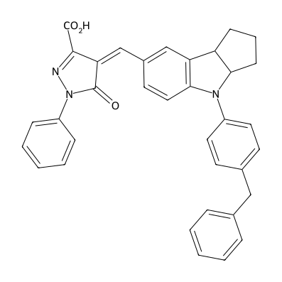 O=C(O)C1=NN(c2ccccc2)C(=O)/C1=C\c1ccc2c(c1)C1CCCC1N2c1ccc(Cc2ccccc2)cc1